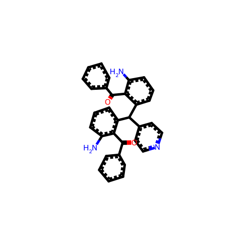 Nc1cccc(C(c2ccncc2)c2cccc(N)c2C(=O)c2ccccc2)c1C(=O)c1ccccc1